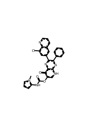 Cn1cccc1NC(=O)Oc1c[nH]c2nc(-c3ccccc3)c(-c3cc(Cl)c4ncccc4c3)nc2c1=O